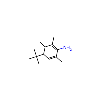 CC1=CC(C(C)(C)C)C(C)C(C)=C1N